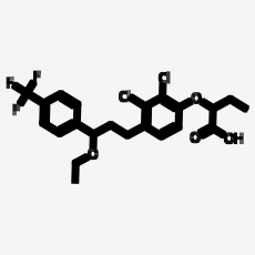 CCOC(CCc1ccc(OC(CC)C(=O)O)c(Cl)c1Cl)c1ccc(C(F)(F)F)cc1